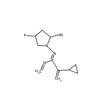 C=N/C(=N\N1CC(F)CC1CCC)C(=C)C1CC1